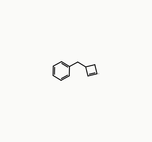 [C]1=CC(Cc2ccccc2)C1